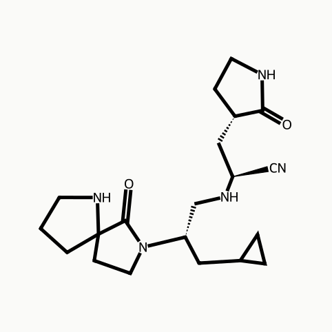 N#C[C@H](C[C@@H]1CCNC1=O)NC[C@H](CC1CC1)N1CCC2(CCCN2)C1=O